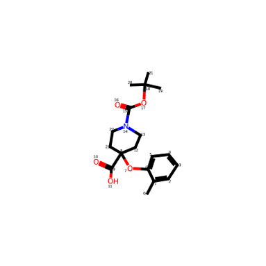 Cc1ccccc1OC1(C(=O)O)CCN(C(=O)OC(C)(C)C)CC1